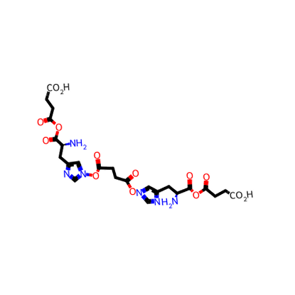 N[C@@H](Cc1cn(OC(=O)CCC(=O)On2cnc(C[C@H](N)C(=O)OC(=O)CCC(=O)O)c2)cn1)C(=O)OC(=O)CCC(=O)O